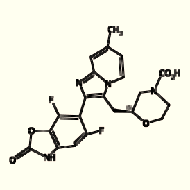 Cc1ccn2c(C[C@H]3CN(C(=O)O)CCO3)c(-c3c(F)cc4[nH]c(=O)oc4c3F)nc2c1